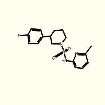 Cc1cccc(NS(=O)(=O)N2CCCC(c3ccc(F)cc3)C2)n1